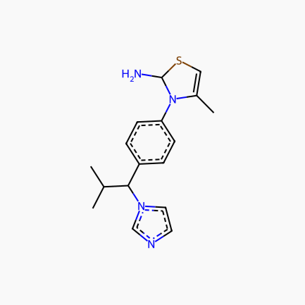 CC1=CSC(N)N1c1ccc(C(C(C)C)n2ccnc2)cc1